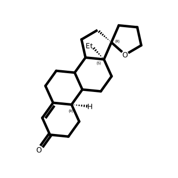 CC[C@]12CCC3C(CCC4=CC(=O)CC[C@@H]43)C1CC[C@@]21CCCO1